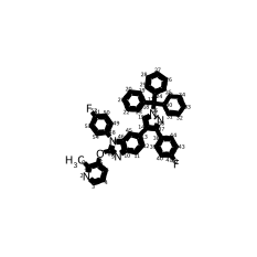 Cc1ncccc1Oc1nc2ccc(-c3cn(C(c4ccccc4)(c4ccccc4)C4C=CC=CC4)nc3-c3ccc(F)cc3)cc2n1-c1ccc(F)cc1